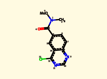 CON(C)C(=O)c1ccc2ncnc(Cl)c2c1